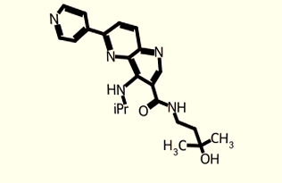 CC(C)Nc1c(C(=O)NCCC(C)(C)O)cnc2ccc(-c3ccncc3)nc12